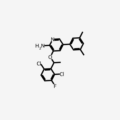 Cc1cc(C)cc(-c2cnc(N)c(OC(C)c3c(Cl)ccc(F)c3Cl)c2)c1